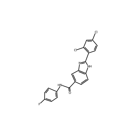 O=C(Nc1ccc(F)cc1)c1ccc2[nH]c(-c3ccc(Cl)cc3Cl)nc2c1